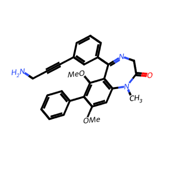 COc1cc2c(c(OC)c1-c1ccccc1)C(c1cccc(C#CCN)c1)=NCC(=O)N2C